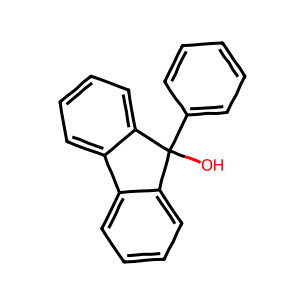 OC1(c2ccccc2)c2ccccc2-c2ccccc21